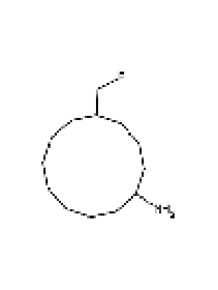 NC1CCCCCCCC(CF)CCC1